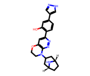 Oc1cc(-c2cn[nH]c2)ccc1-c1cc2c(nn1)N(C1C[C@H]3CC[C@@H](C1)N3)CCO2